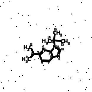 CC(C)C1=NC2C(C=C1)N=CN2C(C)(C)C